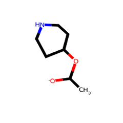 CC([O])OC1CCNCC1